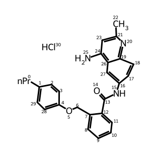 CCCc1ccc(OCc2ccccc2C(=O)Nc2ccc3nc(C)cc(N)c3c2)cc1.Cl